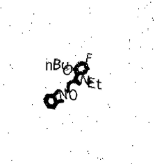 CCCCOc1cc(F)cc2c1c(CC(=O)N1Cc3ccccc3C1)cn2CC